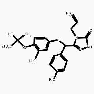 C=CCn1c(C(Oc2ccc(OC(C)(C)C(=O)OCC)c(C)c2)c2ccc(C(F)(F)F)cc2)n[nH]c1=O